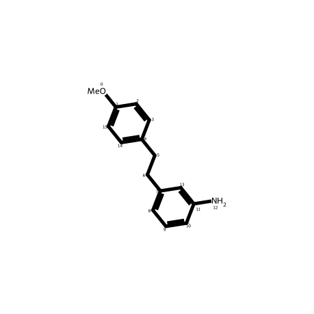 COc1ccc(CCc2cc[c]c(N)c2)cc1